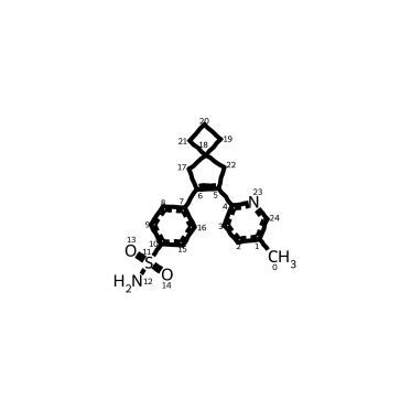 Cc1ccc(C2=C(c3ccc(S(N)(=O)=O)cc3)CC3(CCC3)C2)nc1